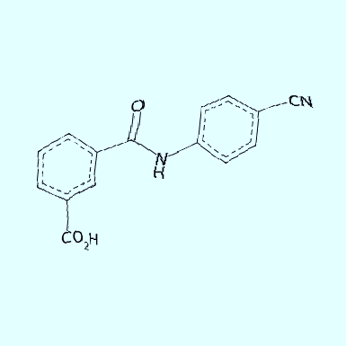 N#Cc1ccc(NC(=O)c2cccc(C(=O)O)c2)cc1